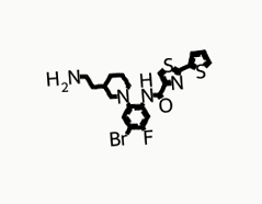 NCCC1CCCN(c2cc(Br)c(F)cc2NC(=O)c2csc(-c3cccs3)n2)C1